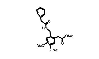 COC(=O)Cc1cc(OC)c(OC)cc1CNC(=O)Cc1ccccc1